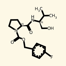 CC(C)[C@@H](CO)NC(=O)[C@@H]1CCCN1C(=O)OCc1ccc(F)cc1